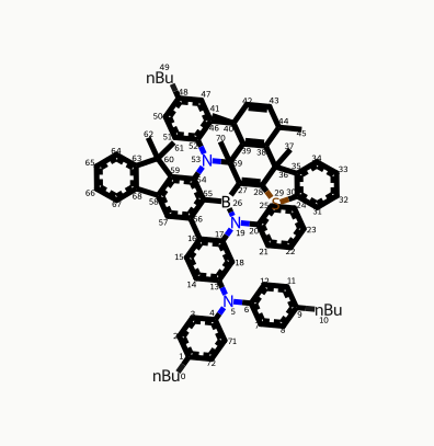 CCCCc1ccc(N(c2ccc(CCCC)cc2)c2ccc3c(c2)N(c2ccccc2)B2C4=C5Sc6ccccc6C5(C)C5=C6C(C)(C=CC5C)c5cc(CCCC)ccc5N(c5c2c-3cc2c5C(C)(C)c3ccccc3-2)C46C)cc1